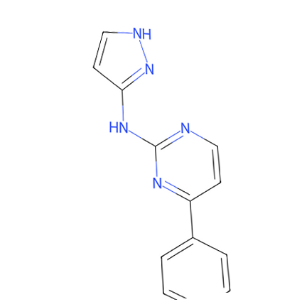 c1ccc(-c2ccnc(Nc3cc[nH]n3)n2)cc1